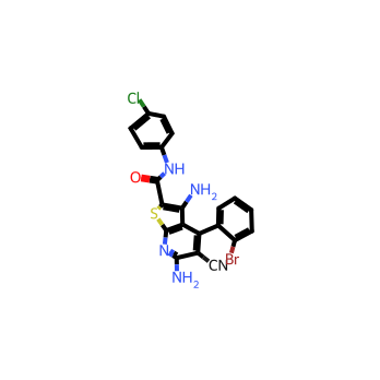 N#Cc1c(N)nc2sc(C(=O)Nc3ccc(Cl)cc3)c(N)c2c1-c1ccccc1Br